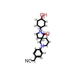 N#CCc1ccc(N2CCC[C@]3(CCN(C4CCC(O)CC4)C3=O)C2)cc1